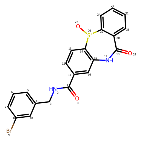 O=C(NCc1cccc(Br)c1)c1ccc2c(c1)NC(=O)c1ccccc1[S+]2[O-]